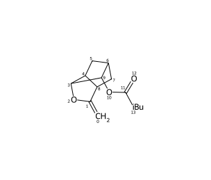 C=C1OC2C3CC(CC13)C2OC(=O)C(C)CC